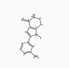 Cn1c(-c2ccnc(N)n2)cc2c1CCNC2=O